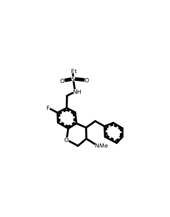 CCS(=O)(=O)NCc1cc2c(cc1F)OCC(NC)C2Cc1ccccc1